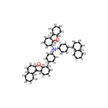 c1ccc2c(-c3ccc(N(c4ccc(-c5cccc6c5oc5ccc7ccccc7c56)cc4)c4cccc5c4oc4ccccc45)cc3)cccc2c1